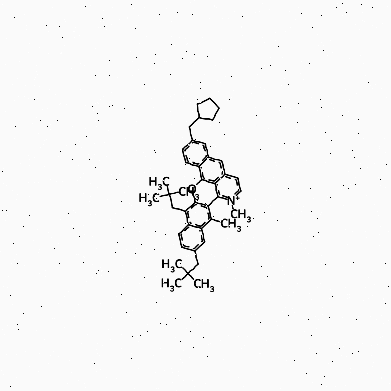 Cc1c2c(c(CC(C)(C)C)c3ccc(CC(C)(C)C)cc13)Oc1c3ccc(CC4CCCC4)cc3cc3cc[n+](C)c-2c13